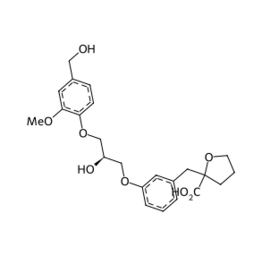 COc1cc(CO)ccc1OC[C@H](O)COc1cccc(CC2(C(=O)O)CCCO2)c1